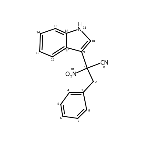 N#CC(Cc1ccccc1)(c1c[nH]c2ccccc12)[N+](=O)[O-]